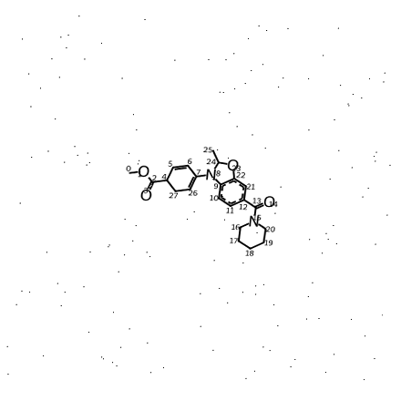 COC(=O)C1C=CC(N2c3ccc(C(=O)N4CCCCC4)cc3OC2C)=CC1